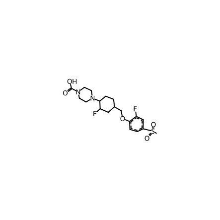 CS(=O)(=O)c1ccc(OCC2CCC(N3CCN(C(=O)O)CC3)C(F)C2)c(F)c1